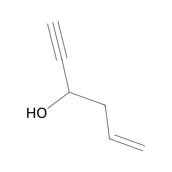 C#CC(O)CC=C